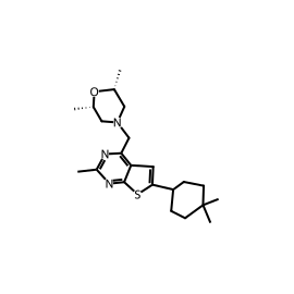 Cc1nc(CN2C[C@@H](C)O[C@@H](C)C2)c2cc(C3CCC(C)(C)CC3)sc2n1